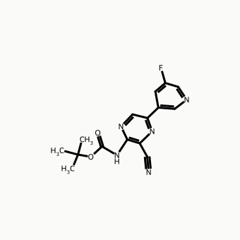 CC(C)(C)OC(=O)Nc1ncc(-c2cncc(F)c2)nc1C#N